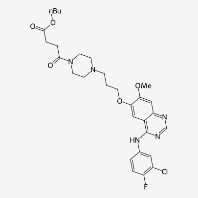 CCCCOC(=O)CCC(=O)N1CCN(CCCOc2cc3c(Nc4ccc(F)c(Cl)c4)ncnc3cc2OC)CC1